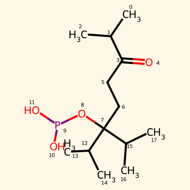 CC(C)C(=O)CCC(OP(O)O)(C(C)C)C(C)C